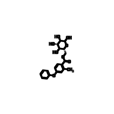 Cc1cc(Oc2ccccc2)ccc1C(=O)OC[C@H]1OC(O)[C@H](O)[C@@H](O)[C@@H]1O